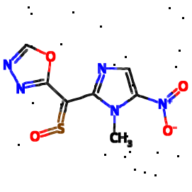 Cn1c([N+](=O)[O-])cnc1C(=S=O)c1nnco1